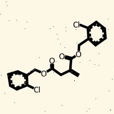 C=C(CC(=O)OCc1ccccc1Cl)C(=O)OCc1ccccc1Cl